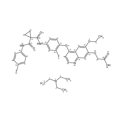 CCN(CC)CC.CCOc1cc2c(Oc3ccc(NC(=O)C4(C(=O)Nc5ccc(F)cc5)CC4)cc3F)ccnc2cc1OCC(=O)O